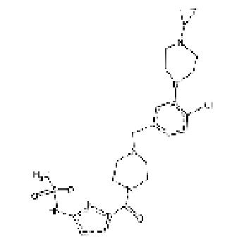 CS(=O)(=O)Nc1ccn(C(=O)N2CCN(Cc3ccc(Cl)c(N4CCN(C5CC5)CC4)c3)CC2)n1